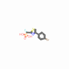 O=P(O)(O)C(F)c1nc(-c2ccc(Br)cc2)cs1